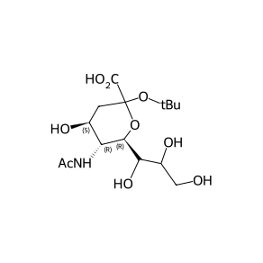 CC(=O)N[C@@H]1[C@@H](O)CC(OC(C)(C)C)(C(=O)O)O[C@H]1C(O)C(O)CO